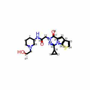 C[C@H](O)CN1CCC[C@@H](NC(=O)Cn2nc(C3CC3)n3c(cc4ccsc43)c2=O)C1